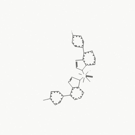 [CH2]=[Hf]([CH3])([CH3])([CH3])([CH2]CC)([CH]1C=Cc2c(-c3ccc(C(C)C)cc3)cccc21)[CH]1C=Cc2c(-c3ccc(C(C)C)cc3)cccc21